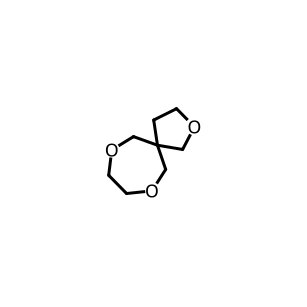 C1COCC2(CCOC2)CO1